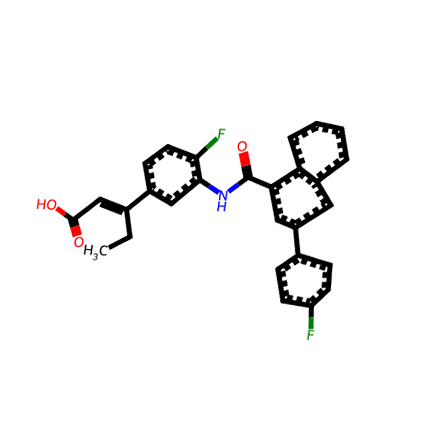 CC/C(=C\C(=O)O)c1ccc(F)c(NC(=O)c2cc(-c3ccc(F)cc3)cc3ccccc23)c1